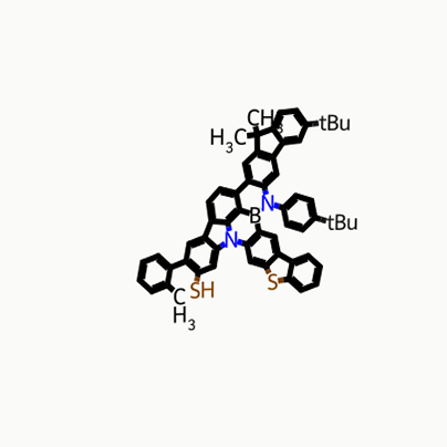 Cc1ccccc1-c1cc2c3ccc4c5c3n(c2cc1S)-c1cc2sc3ccccc3c2cc1B5N(c1ccc(C(C)(C)C)cc1)c1cc2c(cc1-4)C(C)(C)c1ccc(C(C)(C)C)cc1-2